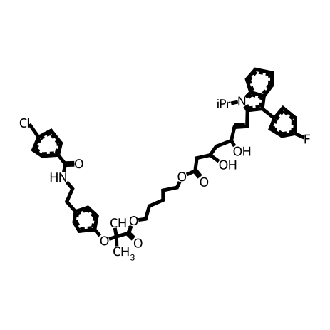 CC(C)n1c(/C=C/C(O)CC(O)CC(=O)OCCCCCOC(=O)C(C)(C)Oc2ccc(CCNC(=O)c3ccc(Cl)cc3)cc2)c(-c2ccc(F)cc2)c2ccccc21